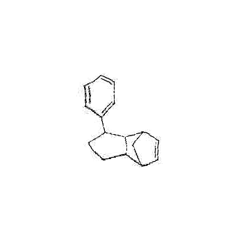 C1=CC2CC1C1CCC(c3ccccc3)C21